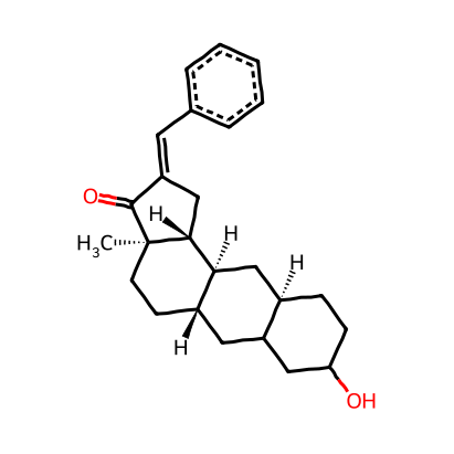 C[C@@]12CC[C@H]3CC4CC(O)CC[C@@H]4C[C@@H]3[C@H]1C/C(=C\c1ccccc1)C2=O